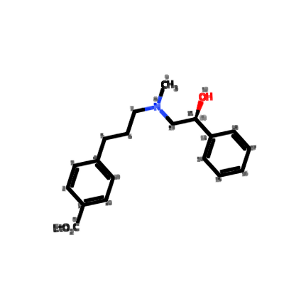 CCOC(=O)c1ccc(CCCN(C)C[C@@H](O)c2ccccc2)cc1